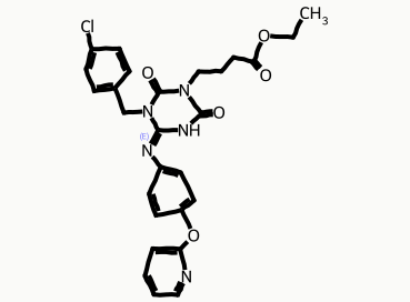 CCOC(=O)CCCn1c(=O)[nH]/c(=N\c2ccc(Oc3ccccn3)cc2)n(Cc2ccc(Cl)cc2)c1=O